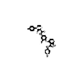 CC(C)N1CCC(Nc2n[nH]c3nccc(Oc4ccc(NC(=O)c5nccn(-c6ccc(F)cc6)c5=O)cc4F)c23)CC1